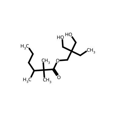 CCCC(C)C(C)(C)C(=O)OCC(CC)(CO)CO